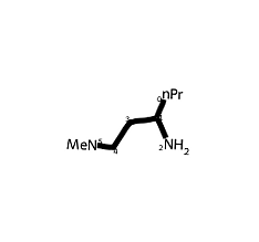 CCCC(N)CCNC